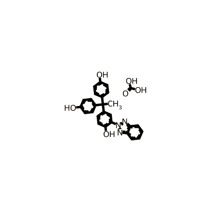 CC(c1ccc(O)cc1)(c1ccc(O)cc1)c1ccc(O)c(-n2nc3ccccc3n2)c1.O=C(O)O